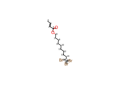 CC=CC(=O)OCCCCCCCCC[Si](Br)(Br)Br